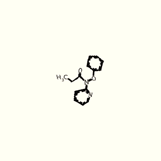 CCC(=O)N(Oc1ccccc1)c1ccccn1